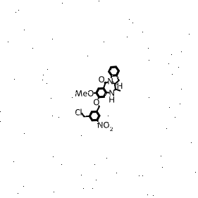 COc1cc2c(cc1OCc1cc(CCl)cc([N+](=O)[O-])c1)NC(C)[C@@H]1Cc3ccccc3N1C2=O